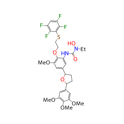 CCN(O)C(=O)Nc1cc(C2CCC(c3cc(OC)c(OC)c(OC)c3)O2)cc(OC)c1OCCSc1c(F)c(F)cc(F)c1F